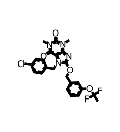 Cn1c(=O)c2c(nc(OCc3cccc(OC(C)(F)F)c3)n2Cc2ccc(Cl)cc2)n(C)c1=O